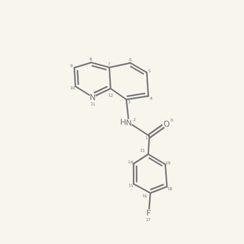 O=C(Nc1cccc2cccnc12)c1ccc(F)cc1